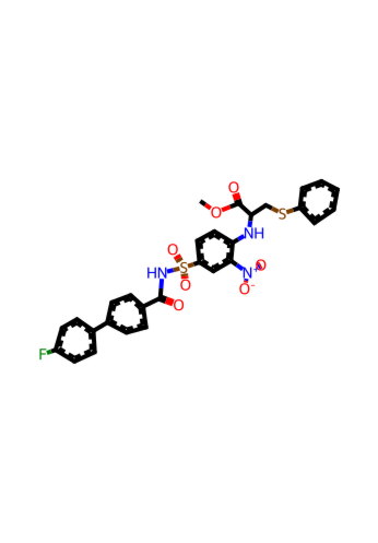 COC(=O)C(CSc1ccccc1)Nc1ccc(S(=O)(=O)NC(=O)c2ccc(-c3ccc(F)cc3)cc2)cc1[N+](=O)[O-]